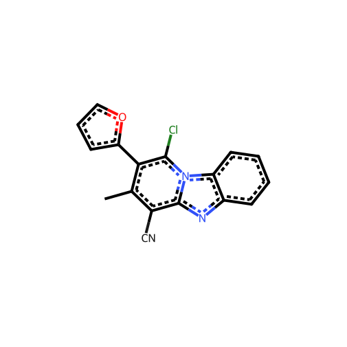 Cc1c(-c2ccco2)c(Cl)n2c(nc3ccccc32)c1C#N